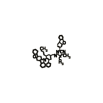 C=C/C=C/C1CC(C/N=C(\N=C(/C#N)C2=CCC3C(=C2)Oc2ccccc23)C(/C)=C/C)=CC(c2ccccc2)=C1n1c2ccccc2c2cc3oc4ccccc4c3cc21